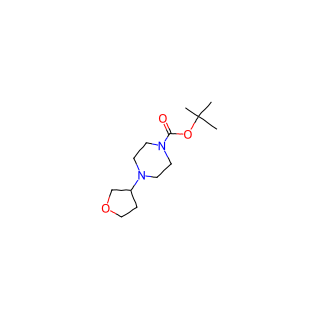 CC(C)(C)OC(=O)N1CCN(C2CCOC2)CC1